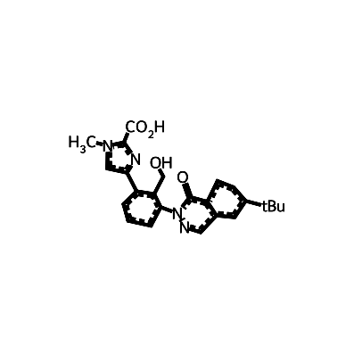 Cn1cc(-c2cccc(-n3ncc4cc(C(C)(C)C)ccc4c3=O)c2CO)nc1C(=O)O